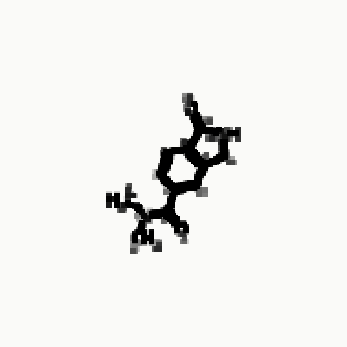 CN(C)C(=O)c1ccc2c(c1)CNC2=O